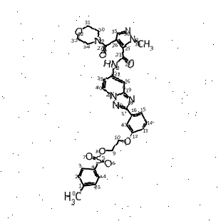 Cc1ccc(S(=O)(=O)OCCOc2cccc(-c3nc4cc(NC(=O)c5c(C(=O)N6CCOCC6)cnn5C)ccn4n3)c2)cc1